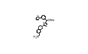 COC(c1cccc(-n2cccn2)c1)c1cnc(N2CCc3ccc(CN)cc3C2)s1